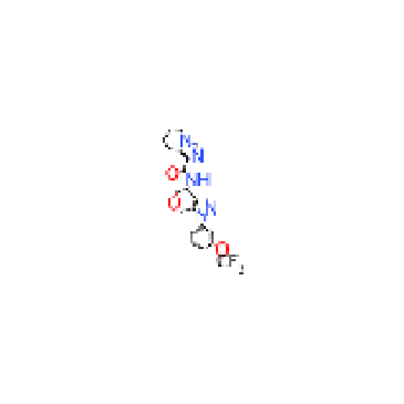 O=C(NC1COCc2c1cnn2-c1cccc(OC(F)(F)F)c1)c1ncn2c1CCCC2